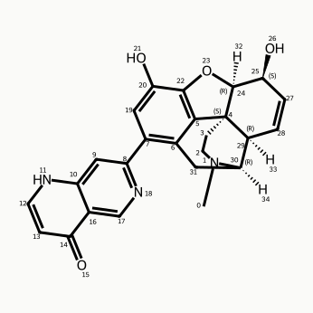 CN1CC[C@]23c4c5c(-c6cc7[nH]ccc(=O)c7cn6)cc(O)c4O[C@H]2[C@@H](O)C=C[C@H]3[C@H]1C5